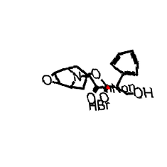 Br.CCCCCCCCCC(=O)CN1C2CC(OC(=O)C(CO)c3ccccc3)CC1C1OC12